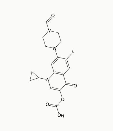 O=CN1CCN(c2cc3c(cc2F)c(=O)c(OC(=O)O)cn3C2CC2)CC1